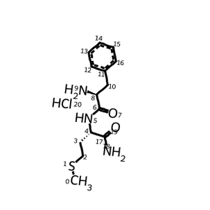 CSCC[C@H](NC(=O)[C@@H](N)Cc1ccccc1)C(N)=O.Cl